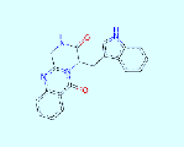 O=C1NCc2nc3ccccc3c(=O)n2C1Cc1c[nH]c2ccccc12